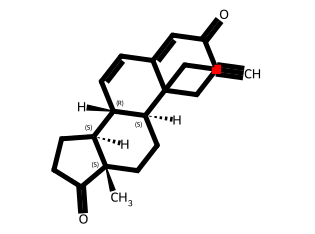 C#CCC12CCC(=O)C=C1C=C[C@@H]1[C@@H]2CC[C@]2(C)C(=O)CC[C@@H]12